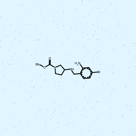 CC(C)(C)OC(=O)N1CCC(NCc2ccc(Br)cc2N)C1